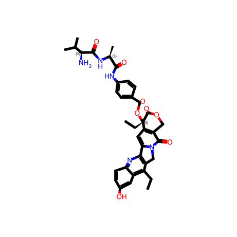 CCc1c2c(nc3ccc(O)cc13)-c1cc3c(c(=O)n1C2)COC(=O)[C@@]3(CC)OC(=O)c1ccc(NC(=O)[C@H](C)NC(=O)[C@@H](N)C(C)C)cc1